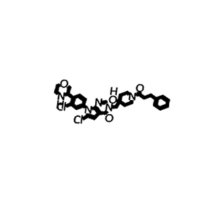 O=C(CCc1ccccc1)N1CCC(O)(Cn2cnc3c(cc(Cl)n3-c3ccc(C4COCCN4)c(Cl)c3)c2=O)CC1